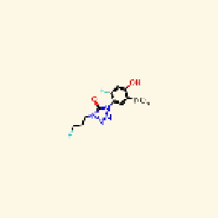 O=c1n(CCCF)nnn1-c1cc([N+](=O)[O-])c(O)cc1F